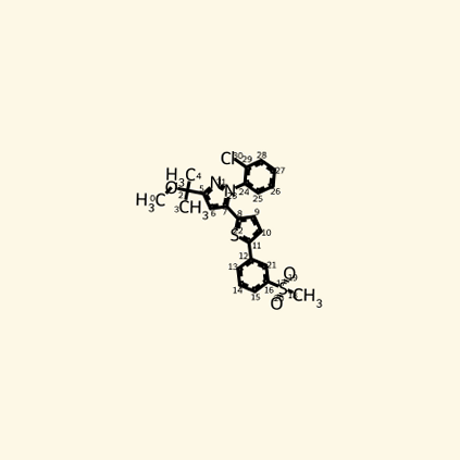 COC(C)(C)c1cc(-c2ccc(-c3cccc(S(C)(=O)=O)c3)s2)n(-c2ccccc2Cl)n1